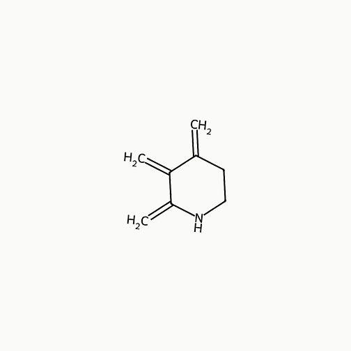 C=C1CCNC(=C)C1=C